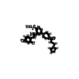 CCOC(=O)c1nnc(N2CCN(C(=O)CCN3CCCC3)CC2)nc1NCc1ccc(Cl)cc1Cl